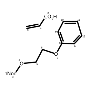 C=CC(=O)O.CCCCCCCCCOCCOc1ccccc1